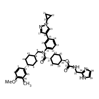 COc1ccc([C@H]2CC[C@H](CN(c3cccc(-c4cnn(C5CC5)c4)c3)C(=O)[C@H]3CC[C@H](OC(=O)NCc4ncc[nH]4)CC3)CC2)cc1C